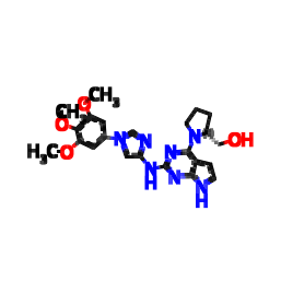 COc1cc(-n2cnc(Nc3nc(N4CCC[C@@H]4CO)c4cc[nH]c4n3)c2)cc(OC)c1OC